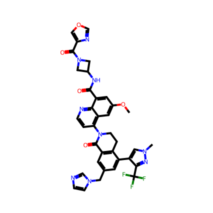 COc1cc(C(=O)NC2CN(C(=O)c3cocn3)C2)c2nccc(N3CCc4c(cc(Cn5ccnc5)cc4-c4cn(C)nc4C(F)(F)F)C3=O)c2c1